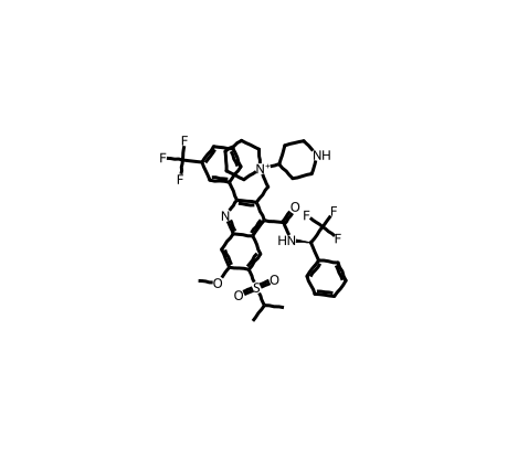 COc1cc2nc(-c3cccc(C(F)(F)F)c3)c(C[N+]3(C4CCNCC4)CCCCC3)c(C(=O)N[C@H](c3ccccc3)C(F)(F)F)c2cc1S(=O)(=O)C(C)C